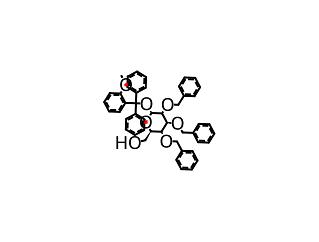 COc1ccccc1C(O[C@H]1O[C@H](CO)[C@@H](OCc2ccccc2)[C@H](OCc2ccccc2)[C@@H]1OCc1ccccc1)(c1ccccc1)c1ccccc1